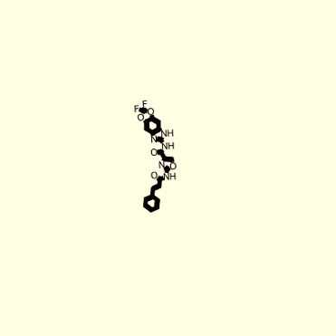 O=C(/C=C/c1ccccc1)Nc1nc(C(=O)Nc2nc3cc4c(cc3[nH]2)OC(F)(F)O4)co1